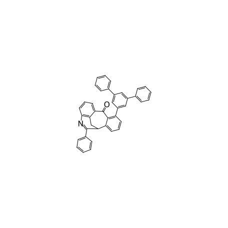 O=C1c2cccc3c2CC(C(c2ccccc2)=N3)c2cccc(-c3cc(-c4ccccc4)cc(-c4ccccc4)c3)c21